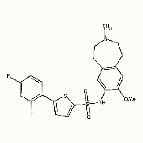 COc1cc2c(cc1NS(=O)(=O)c1ccc(-c3ccc(F)cc3F)s1)CCN(C)CC2